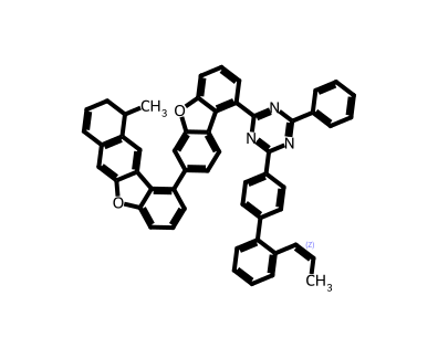 C/C=C\c1ccccc1-c1ccc(-c2nc(-c3ccccc3)nc(-c3cccc4oc5cc(-c6cccc7oc8cc9c(cc8c67)C(C)CC=C9)ccc5c34)n2)cc1